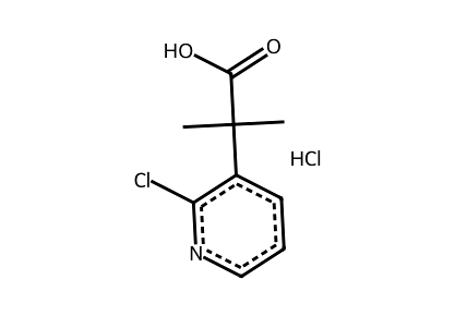 CC(C)(C(=O)O)c1cccnc1Cl.Cl